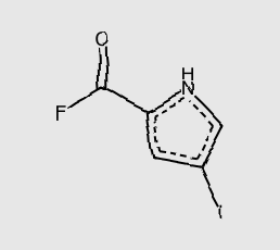 O=C(F)c1cc(I)c[nH]1